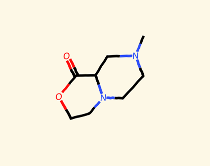 CN1CCN2CCOC(=O)C2C1